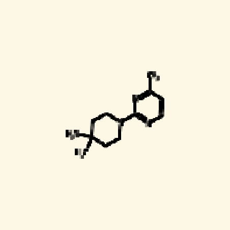 CC1(N)CCN(c2nccc(C(F)(F)F)n2)CC1